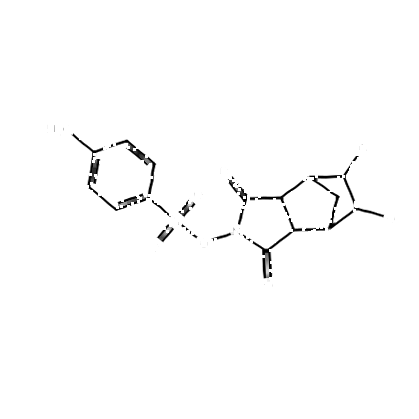 Cc1ccc(S(=O)(=O)ON2C(=O)C3C4CC(C([O])C4[O])C3C2=O)cc1